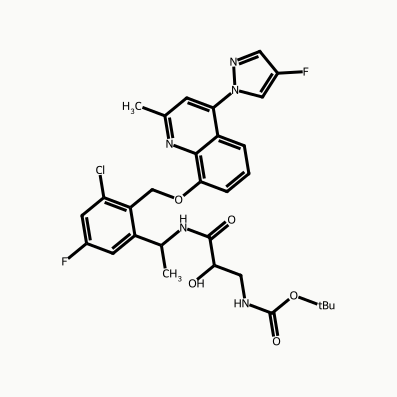 Cc1cc(-n2cc(F)cn2)c2cccc(OCc3c(Cl)cc(F)cc3C(C)NC(=O)C(O)CNC(=O)OC(C)(C)C)c2n1